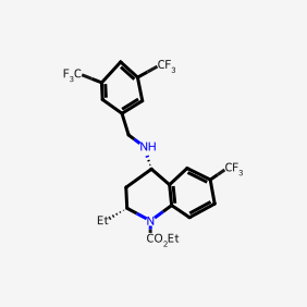 CCOC(=O)N1c2ccc(C(F)(F)F)cc2[C@@H](NCc2cc(C(F)(F)F)cc(C(F)(F)F)c2)C[C@H]1CC